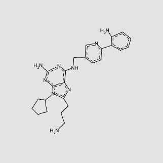 NCCCc1nc2c(NCc3ccc(-c4ccccc4N)nc3)nc(N)nc2n1C1CCCC1